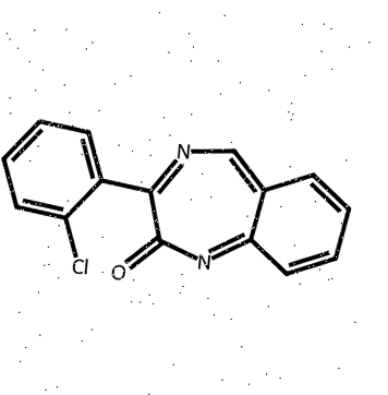 O=c1nc2ccccc2cnc1-c1ccccc1Cl